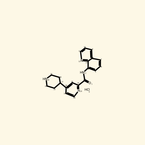 Cl.O=C(Nc1cccc2cccnc12)c1cc(C2CCNCC2)ccn1